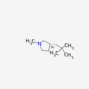 CN1CC[C@@H](CC(C)(C)C)C1